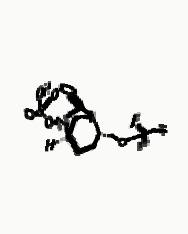 O=C1N2C[C@@H](CC[C@H]2COC(F)(F)F)N1OS(=O)(=O)O